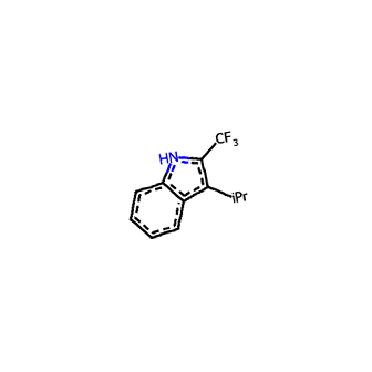 CC(C)c1c(C(F)(F)F)[nH]c2ccccc12